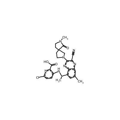 Cc1cc([C@@H](C)Nc2ccc(Cl)nc2C(=O)O)c2nc(N3CCC4(CCN(C)C4=O)C3)c(C#N)nc2c1